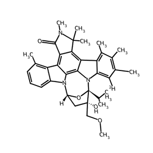 [2H]c1c(C)c(C)c(C)c2c3c4c(c5c6c(C)cccc6n6c5c3n(c12)[C@@]1(C(C)C)O[C@@H]6C[C@]1(O)COC)C(=O)N(C)C4(C)C